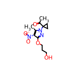 CC(=O)C1(n2nc(OCCCO)c([N+](=O)[O-])c2C)CC1